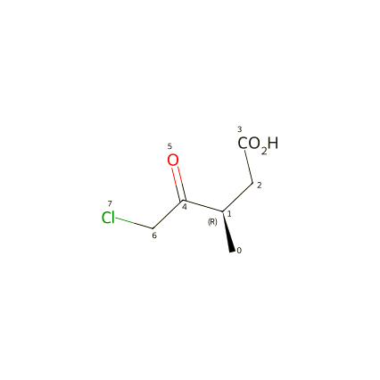 C[C@H](CC(=O)O)C(=O)CCl